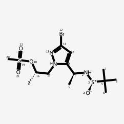 C[C@H](N[S@+]([O-])C(C)(C)C)c1cc(Br)nn1C[C@H](C)OS(C)(=O)=O